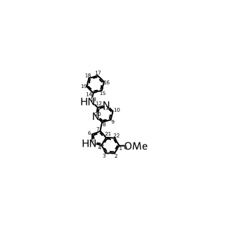 COc1ccc2[nH]cc(-c3ccnc(Nc4ccccc4)n3)c2c1